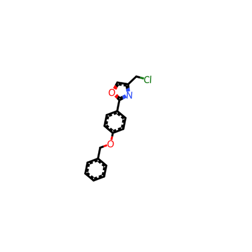 ClCc1coc(-c2ccc(OCc3ccccc3)cc2)n1